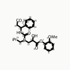 COc1ccccc1OC(=O)C(O)CN(CC(C)C)C(=O)NC(CC(=O)O)c1ccccc1